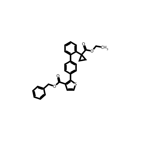 CCOC(=O)C1(c2ccccc2-c2ccc(-c3sccc3C(=O)OCc3ccccc3)cc2)CC1